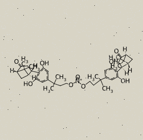 CC(C)(CCO[N+](=O)OCCC(C)(C)c1cc(O)c([C@H]2CC(=O)[C@H]3C[C@H]2C3(C)C)c(O)c1)c1cc(O)c([C@H]2CC(=O)[C@H]3C[C@H]2C3(C)C)c(O)c1